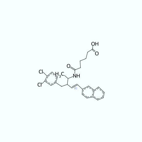 CC(NC(=O)CCCCC(=O)O)C(/C=C/c1ccc2ccccc2c1)Cc1ccc(Cl)c(Cl)c1